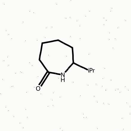 CC(C)C1CCCCC(=O)N1